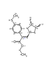 CCOC(=O)/C(=C/[C@H]1C[C@@H](F)[C@@H](F)C1)c1ccc(SC)cc1